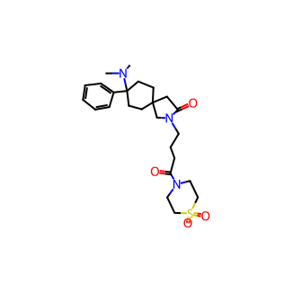 CN(C)C1(c2ccccc2)CCC2(CC1)CC(=O)N(CCCC(=O)N1CCS(=O)(=O)CC1)C2